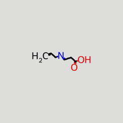 C=CCN=CCC(=O)O